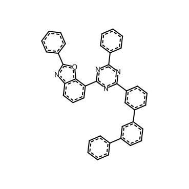 c1ccc(-c2cccc(-c3cccc(-c4nc(-c5ccccc5)nc(-c5cccc6nc(-c7ccccc7)oc56)n4)c3)c2)cc1